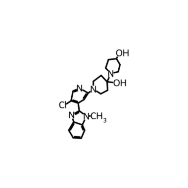 Cn1c(-c2cc(N3CCC(O)(N4CCC(O)CC4)CC3)ncc2Cl)nc2ccccc21